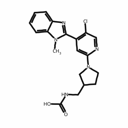 Cn1c(-c2cc(N3CCC(CNC(=O)O)C3)ncc2Cl)nc2ccccc21